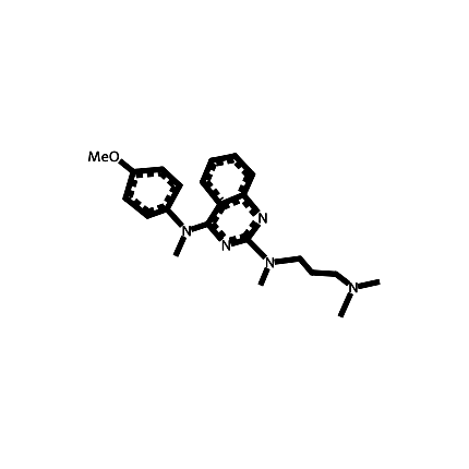 COc1ccc(N(C)c2nc(N(C)CCCN(C)C)nc3ccccc23)cc1